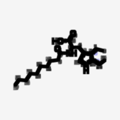 C/C=c1/c(CC(NC(=O)CCCCCCCCC)C(=O)O)c[nH]/c1=C/C